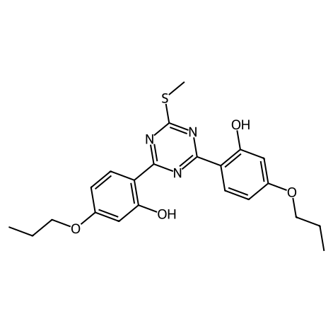 CCCOc1ccc(-c2nc(SC)nc(-c3ccc(OCCC)cc3O)n2)c(O)c1